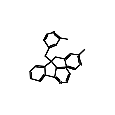 Cc1cc(CC2(Cc3ccnc(C)c3)c3ccccc3-c3ncccc32)ccn1